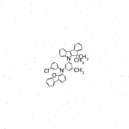 Cc1cc(N(c2cccc(Cl)c2)c2cccc3c2oc2ccccc23)cc(-n2c3c(c4ccccc42)-c2ccccc2C3(C)C)c1